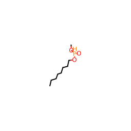 CCCCCCCCO[PH](=O)OC